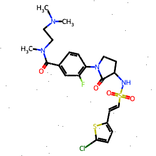 CN(C)CCN(C)C(=O)c1ccc(N2CCC(NS(=O)(=O)C=Cc3ccc(Cl)s3)C2=O)c(F)c1